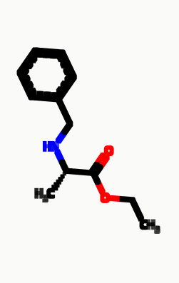 CCOC(=O)[C@H](C)NCc1ccccc1